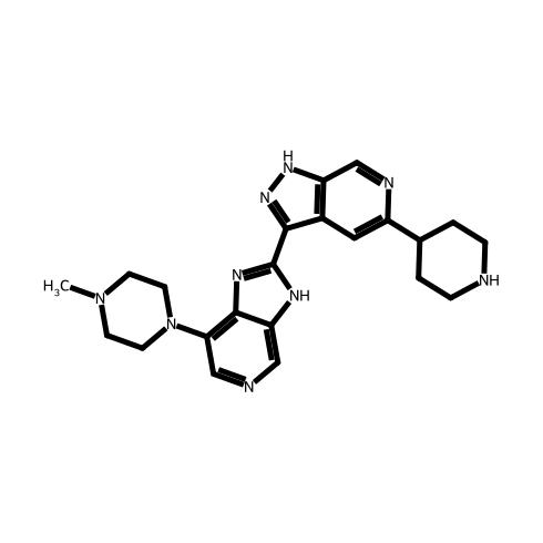 CN1CCN(c2cncc3[nH]c(-c4n[nH]c5cnc(C6CCNCC6)cc45)nc23)CC1